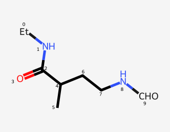 CCNC(=O)C(C)CCNC=O